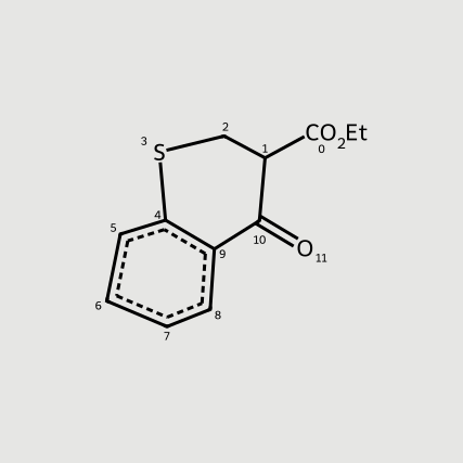 CCOC(=O)C1CSc2ccccc2C1=O